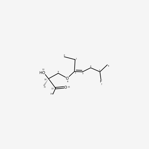 CC/C(=C\CC(C)F)OC[C@](C)(O)C(C)=O